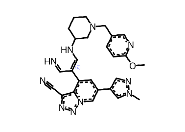 COc1ccc(CN2CCCC(N/C=C(\C=N)c3cc(-c4cnn(C)c4)cn4nnc(C#N)c34)C2)cn1